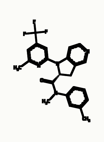 Cc1cccc(N(C)C(=O)[C@H]2Cc3cnccc3N2c2cc(C(F)(F)F)cc(C)n2)c1